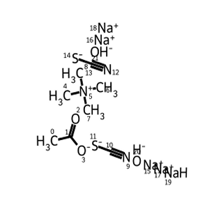 CC(=O)[O-].C[N+](C)(C)C.N#C[S-].N#C[S-].[Na+].[Na+].[Na+].[Na+].[NaH].[OH-].[OH-]